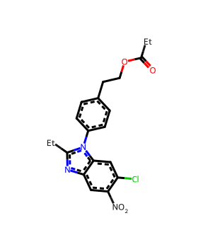 CCC(=O)OCCc1ccc(-n2c(CC)nc3cc([N+](=O)[O-])c(Cl)cc32)cc1